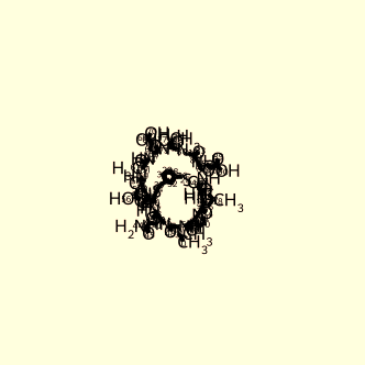 CC(C)C[C@@H]1NC(=O)[C@@H]2CCCN2C(=O)[C@H](CC(C)C)NC(=O)[C@@H]2CSCc3cccc(c3)CSC[C@H](NC(=O)[C@H](CCC(N)=O)NC1=O)C(=O)N[C@@H](CC(=O)O)C(=O)N[C@@H](C)C(=O)N[C@@H](CCC(=O)O)C(=O)N[C@@H]([C@@H](C)O)C(=O)NCC(=O)N[C@@H](CCC(=O)O)C(=O)N2